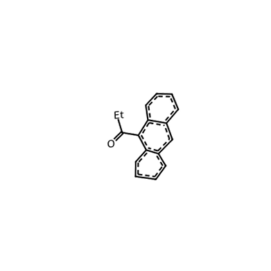 [CH2]CC(=O)c1c2ccccc2cc2ccccc12